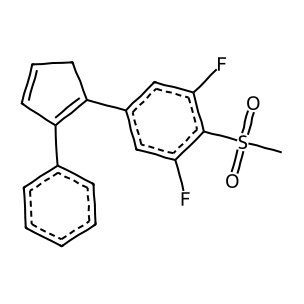 CS(=O)(=O)c1c(F)cc(C2=C(c3ccccc3)C=CC2)cc1F